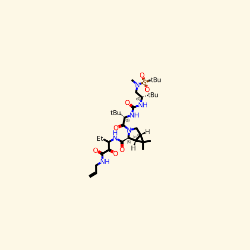 C=CCNC(=O)C(=O)C(CC)NC(=O)[C@@H]1[C@@H]2[C@H](CN1C(=O)[C@@H](NC(=O)N[C@H](CN(C)S(=O)(=O)C(C)(C)C)C(C)(C)C)C(C)(C)C)C2(C)C